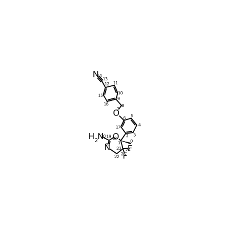 C[C@]1(c2cccc(OCc3ccc(C#N)cc3)c2)OC(N)=NCC1(F)F